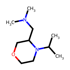 CC(C)N1CCOCC1CN(C)C